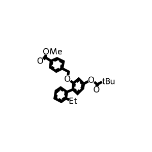 CCc1ccccc1-c1ccc(OC(=O)C(C)(C)C)cc1OCc1ccc(C(=O)OC)cc1